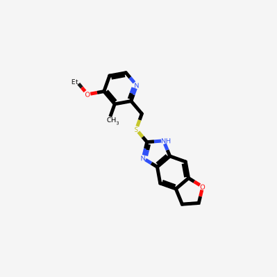 CCOc1ccnc(CSc2nc3cc4c(cc3[nH]2)OCC4)c1C